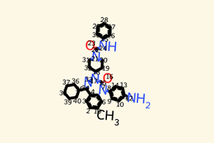 Cc1ccc2c(c1)N(c1ccc(N)cc1)C(=O)N(C1CCN(C(=O)Nc3ccccc3)CC1)N=C2C1CCCCC1